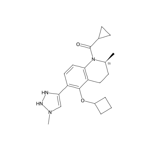 C[C@H]1CCc2c(ccc(C3=CN(C)NN3)c2OC2CCC2)N1C(=O)C1CC1